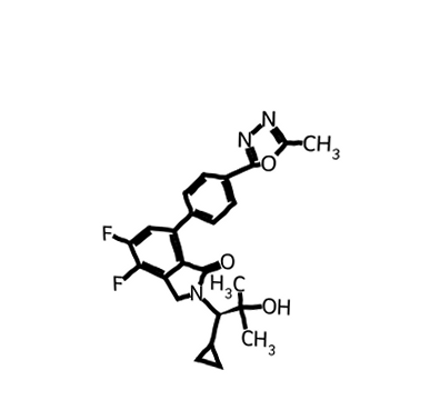 Cc1nnc(-c2ccc(-c3cc(F)c(F)c4c3C(=O)N([C@H](C3CC3)C(C)(C)O)C4)cc2)o1